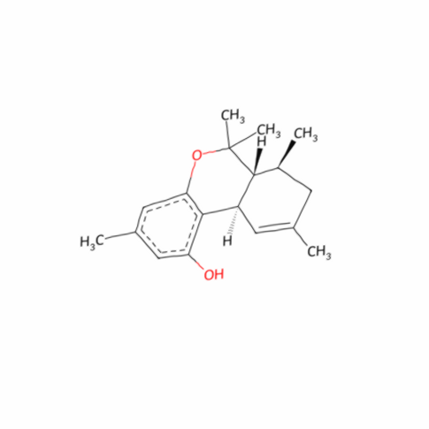 CC1=C[C@H]2c3c(O)cc(C)cc3OC(C)(C)[C@@H]2[C@@H](C)C1